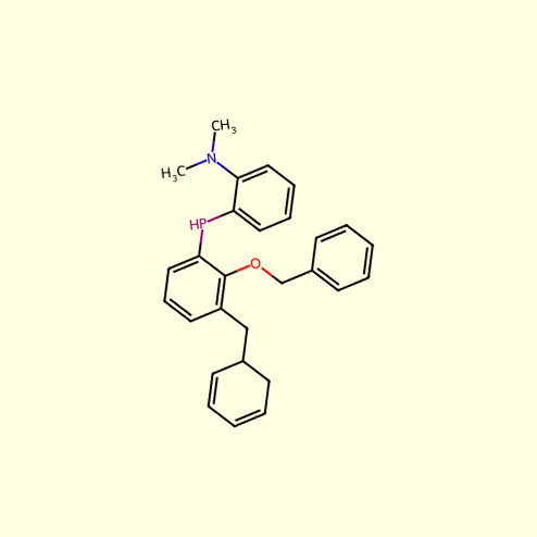 CN(C)c1ccccc1Pc1cccc(CC2C=CC=CC2)c1OCc1ccccc1